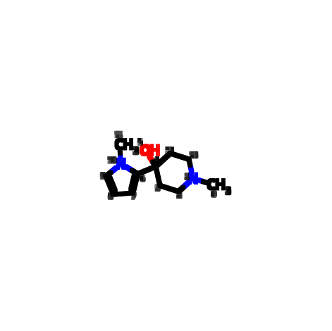 CN1CCC(O)(c2cccn2C)CC1